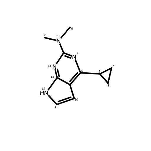 CN(C)c1nc(C2CC2)c2cc[nH]c2n1